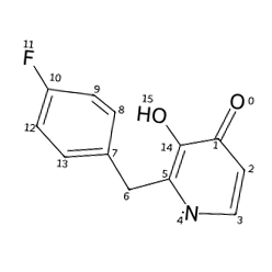 O=C1C=C[N]C(Cc2ccc(F)cc2)=C1O